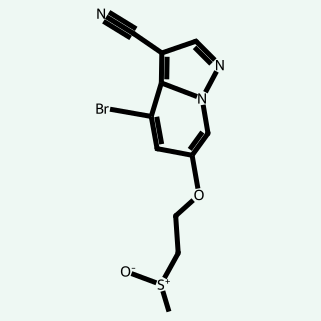 C[S+]([O-])CCOc1cc(Br)c2c(C#N)cnn2c1